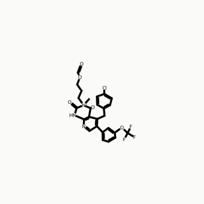 C[N+]1(CCCOC=O)C(=O)Nc2ncc(-c3cccc(OC(F)(F)F)c3)c(Cc3ccc(Cl)cc3)c2C1=O